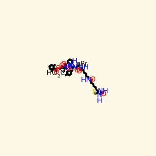 CCCC(NC(=O)CCCCCNC(=O)CCCCC1SCC2NC(=O)NC21)C(=O)N[C@H](Cc1ccc(C)cc1)C(=O)N1CCCC[C@@H]1C(=O)N[C@@H](CC(=O)O)C(=O)COC(=O)c1c(C)cccc1C